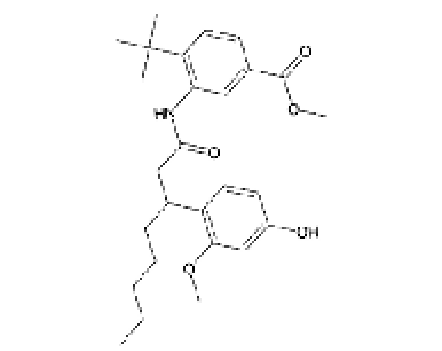 CCCCCC(CC(=O)Nc1cc(C(=O)OC)ccc1C(C)(C)C)c1ccc(O)cc1OC